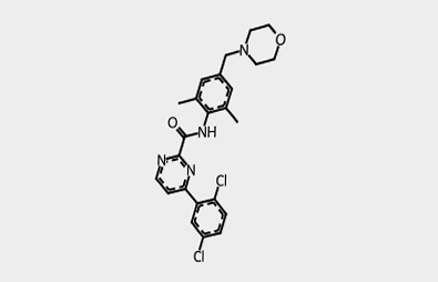 Cc1cc(CN2CCOCC2)cc(C)c1NC(=O)c1nccc(-c2cc(Cl)ccc2Cl)n1